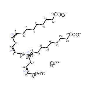 CCCCC/C=C\C/C=C\CCCCCCCC(=O)[O-].CCCCC/C=C\C/C=C\CCCCCCCC(=O)[O-].[Cu+2]